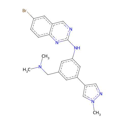 CN(C)Cc1cc(Nc2ncc3cc(Br)ccc3n2)cc(-c2cnn(C)c2)c1